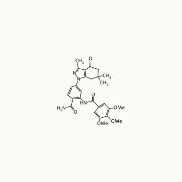 COc1cc(C(=O)Nc2cc(-n3nc(C)c4c3CC(C)(C)CC4=O)ccc2C(N)=O)cc(OC)c1OC